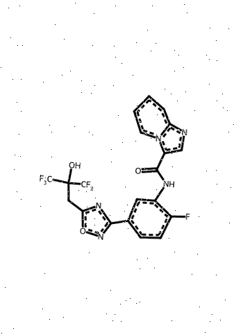 O=C(Nc1cc(-c2noc(CC(O)(C(F)(F)F)C(F)(F)F)n2)ccc1F)c1cnc2ccccn12